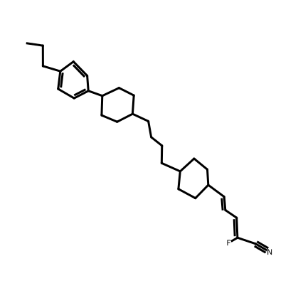 CCCc1ccc(C2CCC(CCCCC3CCC(C=CC=C(F)C#N)CC3)CC2)cc1